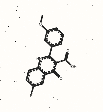 COc1cccc(-c2[nH]c3ccc(F)cc3c(=O)c2C(=O)O)c1